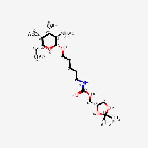 CC(=O)N[C@H]1[C@H](OCCCCCNC(=O)OC[C@@H]2COC(C)(C)O2)O[C@H](COC(C)=O)[C@H](OC(C)=O)[C@@H]1OC(C)=O